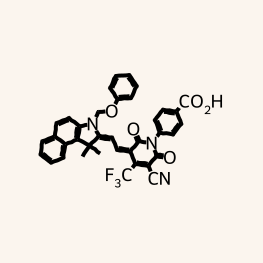 CC1(C)/C(=C\C=C2/C(=O)N(c3ccc(C(=O)O)cc3)C(=O)C(C#N)=C2C(F)(F)F)N(COc2ccccc2)c2ccc3ccccc3c21